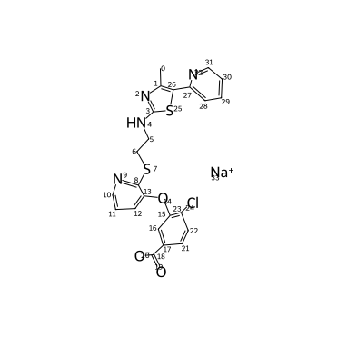 Cc1nc(NCCSc2ncccc2Oc2cc(C(=O)[O-])ccc2Cl)sc1-c1ccccn1.[Na+]